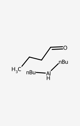 CCCC=O.CCC[CH2][AlH][CH2]CCC